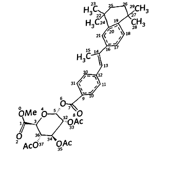 COC(=O)[C@H]1O[C@H](OC(=O)c2ccc(/C=C(\C)c3ccc4c(c3)C(C)(C)CCC4(C)C)cc2)[C@H](OC(C)=O)[C@@H](OC(C)=O)[C@@H]1OC(C)=O